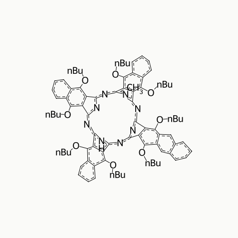 CCCCOc1c2c(c(OCCCC)c3ccccc13)-c1nc-2nc2[nH]c(nc3nc(nc4c5c(OCCCC)c6ccccc6c(OCCCC)c5c(n1)n4C)-c1c-3c(OCCCC)c3cc4ccccc4cc3c1OCCCC)c1c(OCCCC)c3ccccc3c(OCCCC)c21